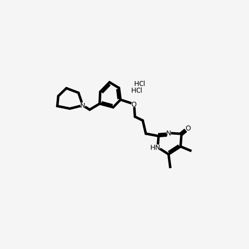 Cc1[nH]c(CCCOc2cccc(CN3CCCCC3)c2)nc(=O)c1C.Cl.Cl